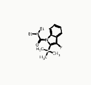 CCN(CC)C(=O)n1c(S(C)(C)C)c(F)c2ccccc21